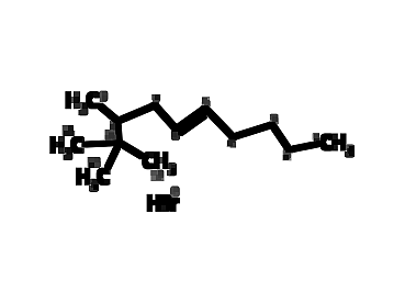 Br.CCCCC=CCC(C)C(C)(C)C